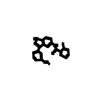 O=C(Nc1ccc2[nH]nc(-c3cccc([N+](=O)[O-])c3)c2c1)c1ccccc1F